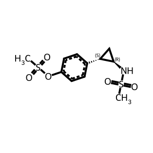 CS(=O)(=O)N[C@@H]1C[C@H]1c1ccc(OS(C)(=O)=O)cc1